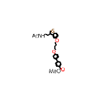 COC(=O)c1ccc(-c2ccc(OCCCCOc3ccc4scc(CCNC(C)=O)c4c3)cc2)cc1